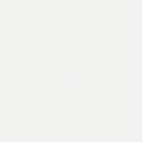 Oc1ccc(CBr)nc1